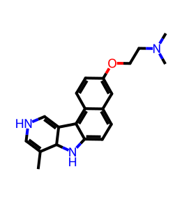 CC1=CNC=C2c3c(ccc4cc(OCCN(C)C)ccc34)NC12